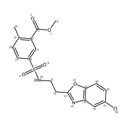 COC(=O)c1cc(S(=O)(=O)NCCc2nc3cc(Cl)ccc3o2)ccc1C